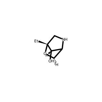 [3H][C@@H]1O[C@]2(CC)CNC1[C@@H]2O